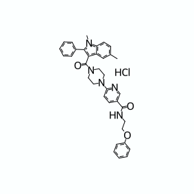 Cc1ccc2c(c1)c(C(=O)N1CCN(c3ccc(C(=O)NCCOc4ccccc4)cn3)CC1)c(-c1ccccc1)n2C.Cl